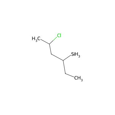 CCC([SiH3])CC(C)Cl